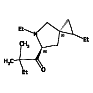 CCC1C[C@@]12C[C@@H](C(=O)C(C)(C)CC)N(CC)C2